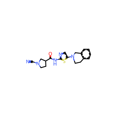 N#CN1CCC(C(=O)Nc2ncc(N3CCc4ccccc4C3)s2)C1